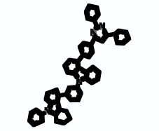 C1=Cc2c(c3c(-c4cccc(-n5c6ccccc6c6c(-c7ccc(-c8cc(-c9ccccc9)nc(-c9ccccc9)n8)cc7)cccc65)c4)cccc3n2-c2ccccc2)CC1